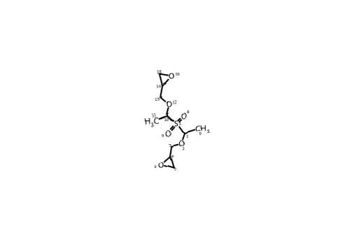 CC(OCC1CO1)S(=O)(=O)C(C)OCC1CO1